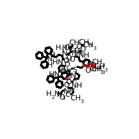 CC[C@H](C)C(NC(=O)C(Cc1ccc(OC)cc1)NC(=O)OC(C)(C)C)C(=O)NC(CCC(=O)NC(c1ccccc1)(c1ccccc1)c1ccccc1)C(=O)NC(CC(=O)NC(c1ccccc1)(c1ccccc1)c1ccccc1)C(=O)N[C@@H](CSCCCC(=O)OC(C)(C)C)C(=O)N1CCC[C@H]1C(=O)N[C@@H](CC(C)C)C(=O)NCC(N)=O